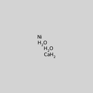 O.O.[CaH2].[Ni]